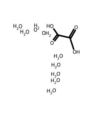 O.O.O.O.O.O.O.O.O.O=C(O)C(=O)O